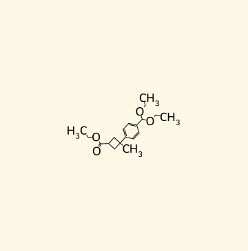 CCOC(=O)C1CC(C)(c2ccc(C(OCC)OCC)cc2)C1